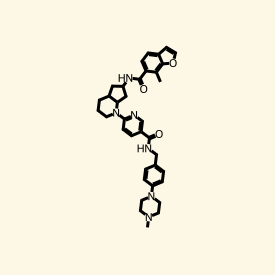 Cc1c(C(=O)NC2CC3CCCN(c4ccc(C(=O)NCc5ccc(N6CCN(C)CC6)cc5)cn4)C3C2)ccc2ccoc12